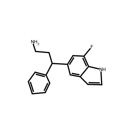 NCCC(c1ccccc1)c1cc(F)c2[nH]ccc2c1